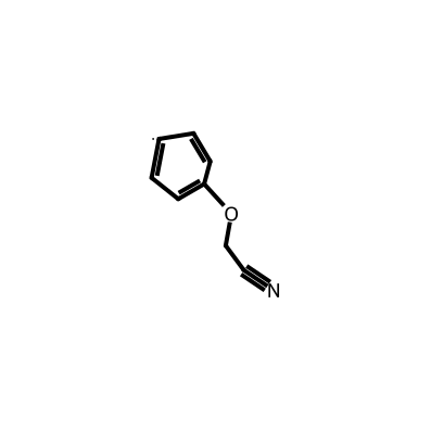 N#CCOc1cc[c]cc1